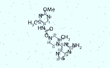 COc1ncc(NC(=O)ON2CCN(c3nc(N)nc4scnc34)[C@@H](C)C2)c(C)n1